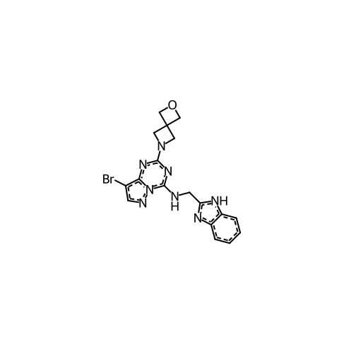 Brc1cnn2c(NCc3nc4ccccc4[nH]3)nc(N3CC4(COC4)C3)nc12